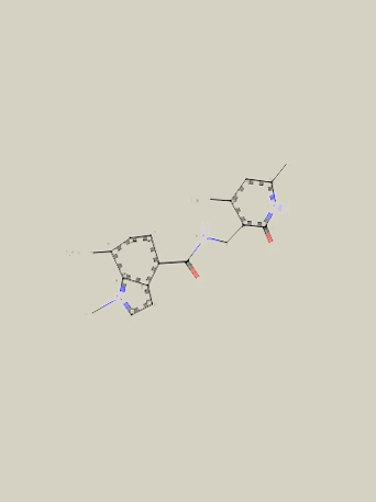 CCCc1cc(C)[nH]c(=O)c1CNC(=O)c1ccc(OC)c2c1ccn2C(C)C